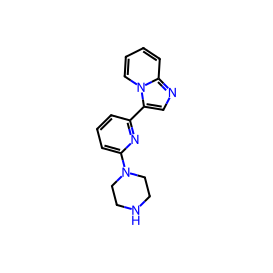 c1cc(-c2cnc3ccccn23)nc(N2CCNCC2)c1